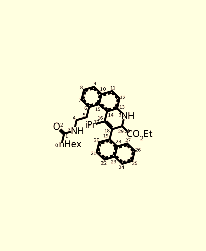 CCCCCCC(=O)NCCc1cccc2ccc3c(c12)C(C(C)C)=C(c1cccc2ccccc12)C(C(=O)OCC)N3